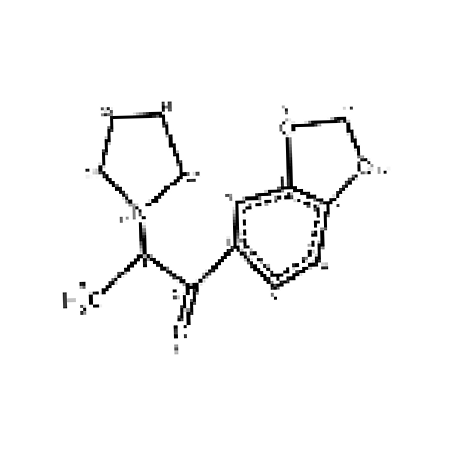 CC(C(=O)c1ccc2c(c1)OCO2)N1CCCC1